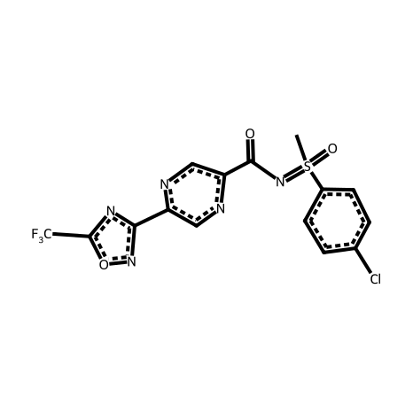 CS(=O)(=NC(=O)c1cnc(-c2noc(C(F)(F)F)n2)cn1)c1ccc(Cl)cc1